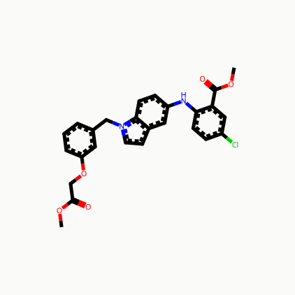 COC(=O)COc1cccc(Cn2ccc3cc(Nc4ccc(Cl)cc4C(=O)OC)ccc32)c1